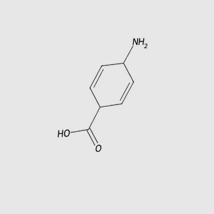 NC1C=CC(C(=O)O)C=C1